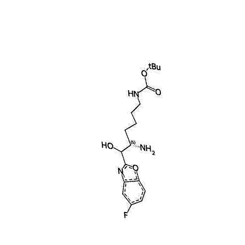 CC(C)(C)OC(=O)NCCCC[C@H](N)C(O)c1nc2cc(F)ccc2o1